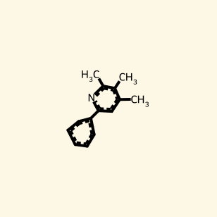 Cc1cc(-c2ccccc2)nc(C)c1C